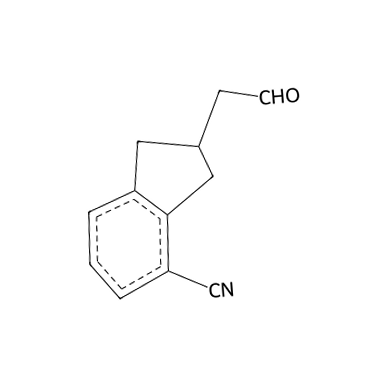 N#Cc1cccc2c1CC(CC=O)C2